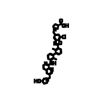 Cc1c(Nc2nccc3cc(CN4CC[C@H](O)C4)cnc23)cccc1-c1cccc(-c2nc3cc(CN4CC[C@@H](C(=O)O)C4)cc(Cl)c3o2)c1C